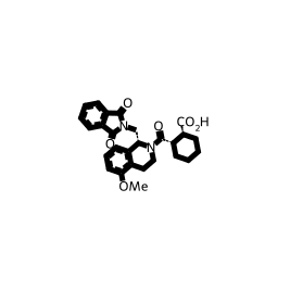 COc1cccc2c1CCN(C(=O)[C@H]1CCCC[C@H]1C(=O)O)[C@H]2CN1C(=O)c2ccccc2C1=O